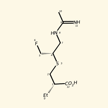 CC[C@H](CS[C@H](CF)CNC(C)=N)C(=O)O